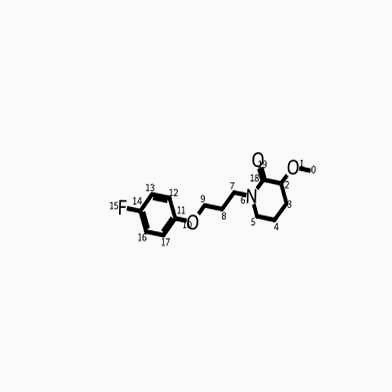 COC1CCCN(CCCOc2ccc(F)cc2)C1=O